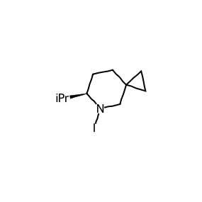 CC(C)[C@H]1CCC2(CC2)CN1I